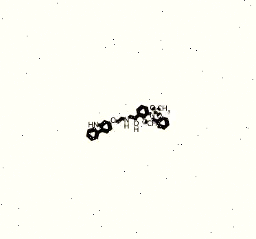 COc1c(C(O)CNCCOc2ccc3c(c2)[nH]c2ccccc23)cccc1N(Cc1ccccc1)S(C)(=O)=O